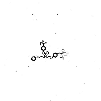 CCOC(Cc1ccc(OCCN(CCCSc2ccccc2)C(=O)Oc2ccc(C(F)(F)F)cc2)cc1)C(=O)O